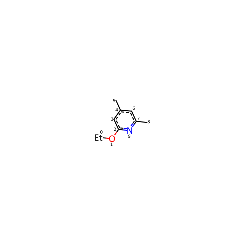 CCOc1cc(C)cc(C)n1